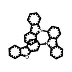 c1ccc2c(c1)oc1cc(-n3c4ccccc4c4cccc(-n5c6ccccc6c6ccccc65)c43)ccc12